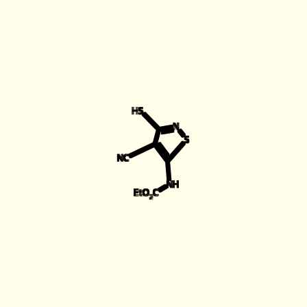 CCOC(=O)Nc1snc(S)c1C#N